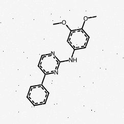 COc1ccc(Nc2nccc(-c3cc[c]cc3)n2)cc1OC